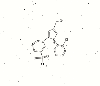 CS(=O)(=O)c1cccc(C2=CC(C[O])=C[SH]2c2ccccc2Cl)c1